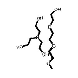 COCCOCCOCCO.OCCN(CCO)CCO